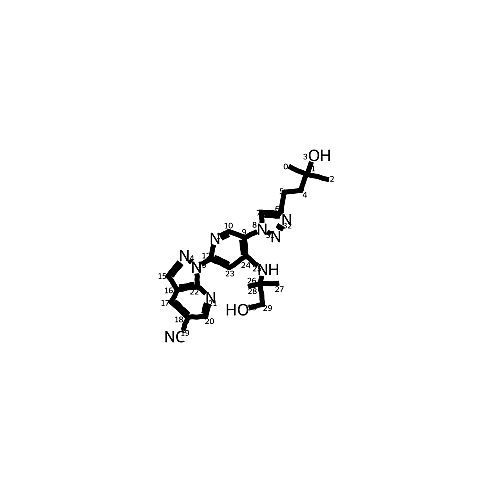 CC(C)(O)CCc1cn(-c2cnc(-n3ncc4cc(C#N)cnc43)cc2NC(C)(C)CO)nn1